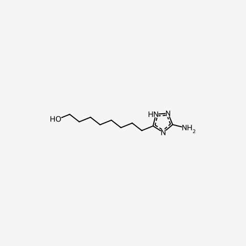 Nc1n[nH]c(CCCCCCCCO)n1